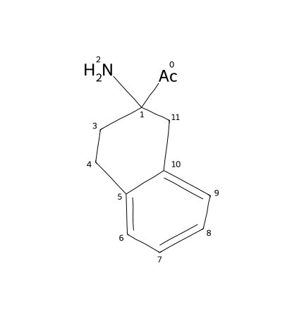 CC(=O)C1(N)CCc2ccccc2C1